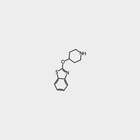 c1ccc2sc(OC3CCNCC3)nc2c1